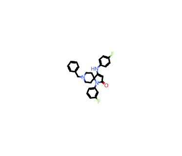 O=C1C=C(Nc2ccc(F)cc2)C2(CCN(Cc3ccccc3)CC2)N1c1cccc(F)c1